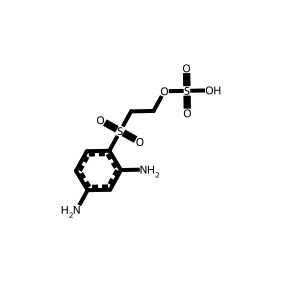 Nc1ccc(S(=O)(=O)CCOS(=O)(=O)O)c(N)c1